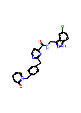 O=C(NCc1n[nH]c2ccc(Cl)cc12)c1ccnc(Cc2ccc(Cn3ccccc3=O)cc2)n1